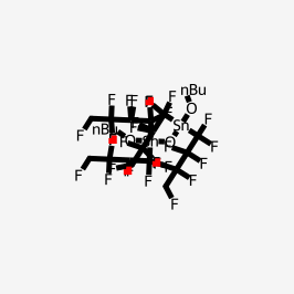 CCCC[O][Sn]([O][Sn]([O]CCCC)([C](F)(F)C(F)(F)C(F)(F)CF)[C](F)(F)C(F)(F)C(F)(F)CF)([C](F)(F)C(F)(F)C(F)(F)CF)[C](F)(F)C(F)(F)C(F)(F)CF